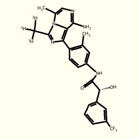 [2H]C([2H])([2H])c1nc(-c2ccc(NC(=O)[C@H](O)c3cccc(C(F)(F)F)c3)cc2C)c2c(N)ncc(C)n12